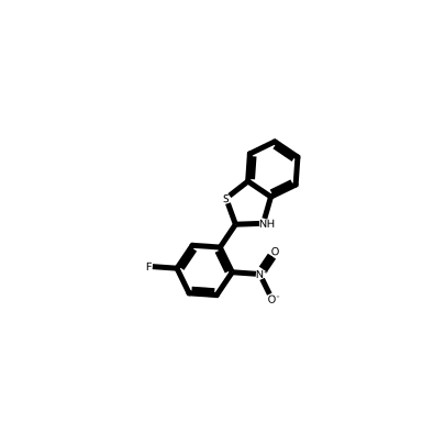 O=[N+]([O-])c1ccc(F)cc1C1Nc2ccccc2S1